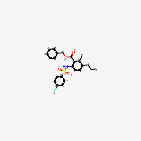 CCCc1ccc(NS(=O)(=O)c2ccc(F)cc2)c(C(=O)OCc2ccccc2)c1C